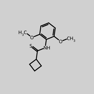 COc1cccc(OC)c1NC(=S)C1CCC1